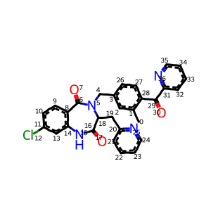 Cc1cc(CN2C(=O)c3ccc(Cl)cc3NC(=O)C2Cc2ccccn2)ccc1C(=O)c1ccccn1